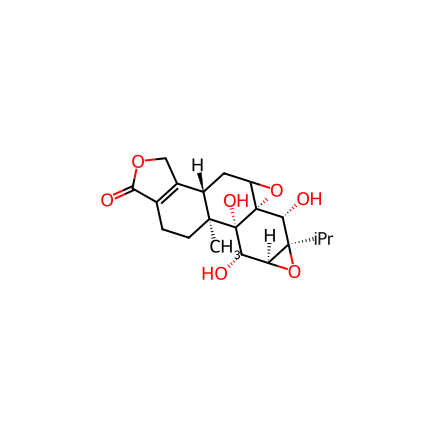 CC(C)[C@]12O[C@H]1[C@H](O)[C@@]1(O)[C@@]3(C)CCC4=C(COC4=O)[C@@H]3CC3O[C@@]31[C@@H]2O